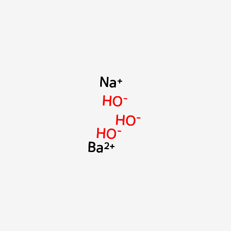 [Ba+2].[Na+].[OH-].[OH-].[OH-]